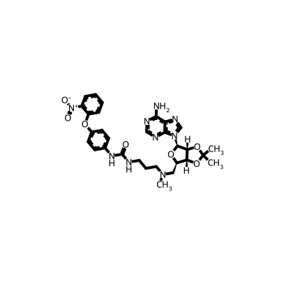 CN(CCCNC(=O)Nc1ccc(Oc2ccccc2[N+](=O)[O-])cc1)C[C@H]1O[C@@H](n2cnc3c(N)ncnc32)[C@@H]2OC(C)(C)O[C@@H]21